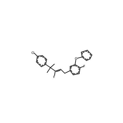 CC(C)(/C(F)=C/Cc1ccc(F)c(Oc2ccccc2)c1)c1ccc(Cl)cc1